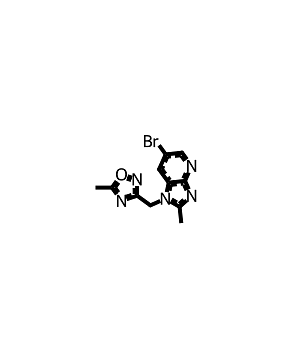 Cc1nc(Cn2c(C)nc3ncc(Br)cc32)no1